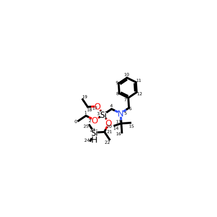 CCO[Si](CN(Cc1ccccc1)C(C)(C)C)(OCC)OC(C)[SiH](C)C